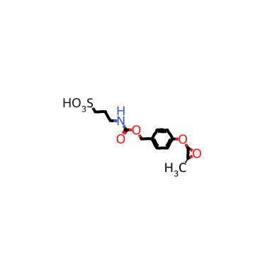 C[C@H]1OC1Oc1ccc(COC(=O)NCCCS(=O)(=O)O)cc1